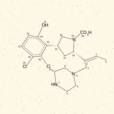 C/C=C(\CN1CCNCC1)[C@@H]1C[C@H](c2c(O)ccc(Cl)c2Cl)CN1C(=O)O